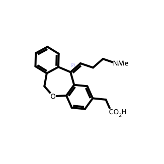 CNCC/C=C1/c2ccccc2COc2ccc(CC(=O)O)cc21